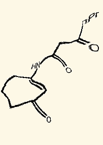 CCCC(=O)CC(=O)NC1=CC(=O)CCC1